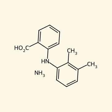 Cc1cccc(Nc2ccccc2C(=O)O)c1C.N